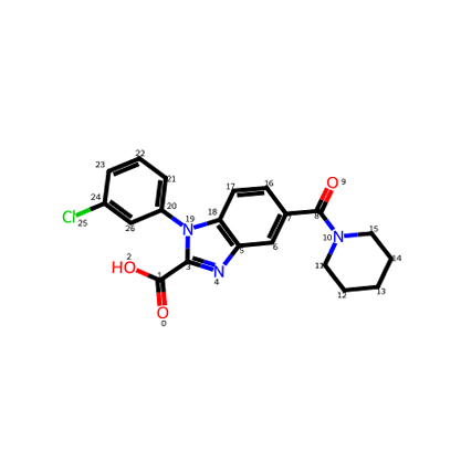 O=C(O)c1nc2cc(C(=O)N3CCCCC3)ccc2n1-c1cccc(Cl)c1